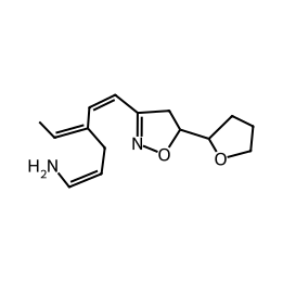 C/C=C(\C=C/C1=NOC(C2CCCO2)C1)C/C=C\N